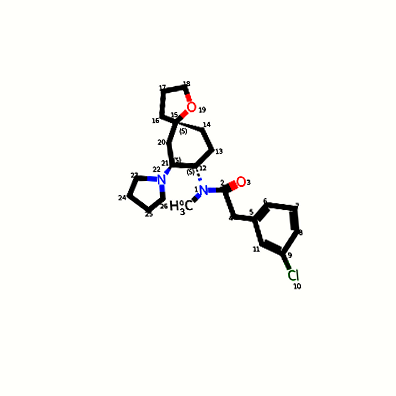 CN(C(=O)Cc1cccc(Cl)c1)[C@H]1CC[C@]2(CCCO2)C[C@@H]1N1CCCC1